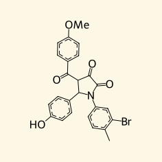 COc1ccc(C(=O)C2C(=O)C(=O)N(c3ccc(C)c(Br)c3)C2c2ccc(O)cc2)cc1